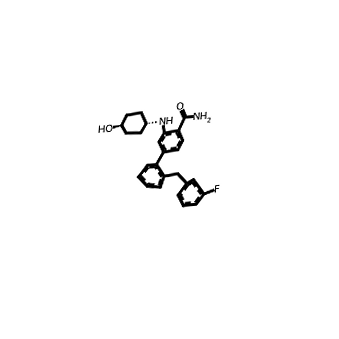 NC(=O)c1ccc(-c2ccccc2Cc2cccc(F)c2)cc1N[C@H]1CC[C@H](O)CC1